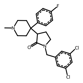 CN1CCC(c2ccc(F)cc2)(C2CCN(Cc3cc(Cl)cc(Cl)c3)C2=O)CC1